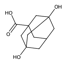 O=C(O)C12CC3CC(O)(CC(O)(C3)C1)C2